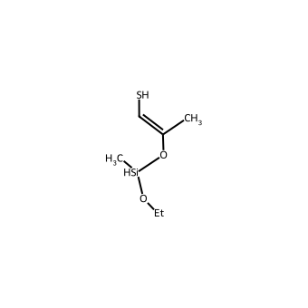 CCO[SiH](C)OC(C)=CS